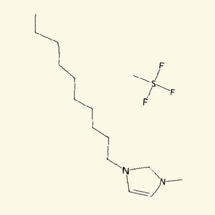 CCCCCCCCCCN1C=CN(C)C1.CS(F)(F)F